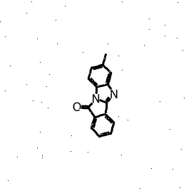 Cc1ccc2c(c1)nc1n2C(=O)c2ccccc2-1